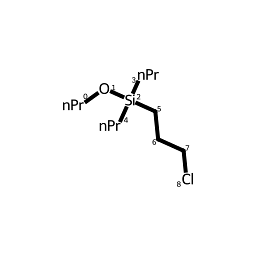 CCCO[Si](CCC)(CCC)CCCCl